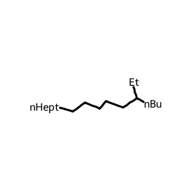 C[CH]CCC(CC)CCCCCCCCCCCC